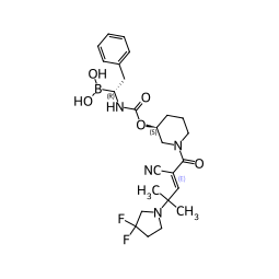 CC(C)(/C=C(\C#N)C(=O)N1CCC[C@H](OC(=O)N[C@@H](Cc2ccccc2)B(O)O)C1)N1CCC(F)(F)C1